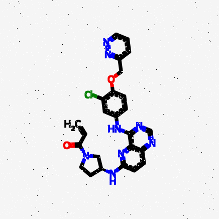 C=CC(=O)N1CC[C@H](Nc2ccc3ncnc(Nc4ccc(OCc5cccnn5)c(Cl)c4)c3n2)C1